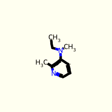 CCN(C)c1[c]ccnc1C